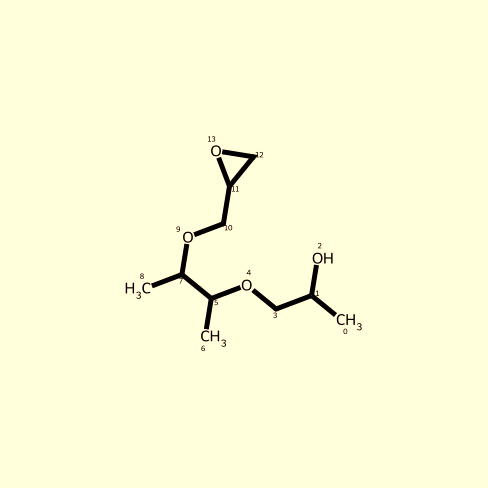 CC(O)COC(C)C(C)OCC1CO1